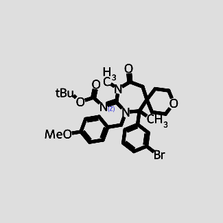 COc1ccc(CN2/C(=N/C(=O)OC(C)(C)C)N(C)C(=O)CC3(CCOCC3)C2(C)c2cccc(Br)c2)cc1